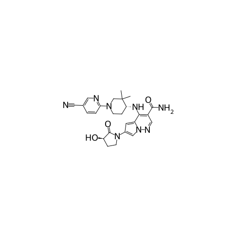 CC1(C)CN(c2ccc(C#N)cn2)CC[C@H]1Nc1c(C(N)=O)cnn2cc(N3CC[C@@H](O)C3=O)cc12